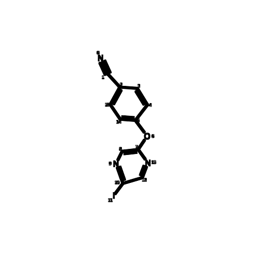 N#Cc1ccc(Oc2cnc(I)cn2)cc1